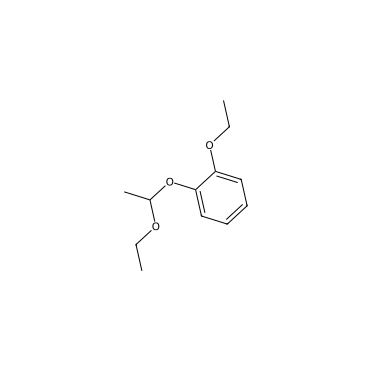 CCOc1ccccc1OC(C)OCC